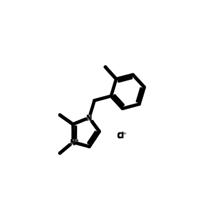 Cc1ccccc1Cn1cc[n+](C)c1C.[Cl-]